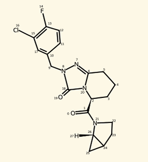 O=C([C@@H]1CCCc2nn(Cc3ccc(F)c(Cl)c3)c(=O)n21)N1CCC2C[C@@H]21